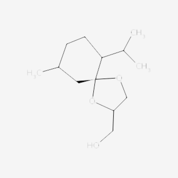 CC1CCC(C(C)C)[C@]2(C1)OCC(CO)O2